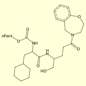 CCCCCOC(=O)NC(CC1CCCCC1)C(=O)NC(CO)CCC(=O)N1CCOc2ccccc2C1